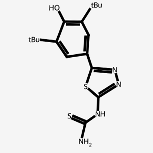 CC(C)(C)c1cc(-c2nnc(NC(N)=S)s2)cc(C(C)(C)C)c1O